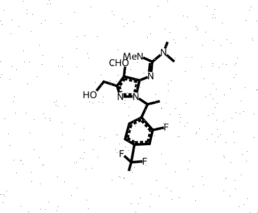 CN/C(=N\c1c(C=O)c(CO)nn1C(C)c1ccc(C(C)(F)F)cc1F)N(C)C